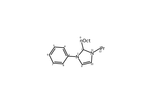 CCCCCCCCC1N(c2ccccc2)C=CN1C(C)C